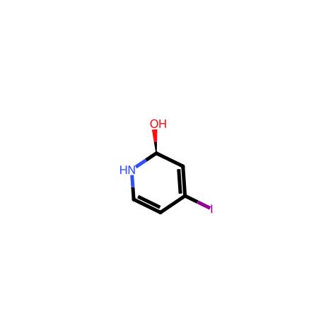 O[C@H]1C=C(I)C=CN1